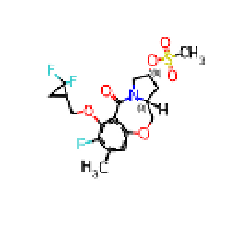 Cc1cc2c(c(OCC3CC3(F)F)c1F)C(=O)N1C[C@H](OS(C)(=O)=O)C[C@@H]1CO2